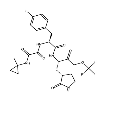 CC1(NC(=O)C(=O)N[C@@H](Cc2ccc(F)cc2)C(=O)N[C@@H](C[C@@H]2CCNC2=O)C(=O)COC(F)(F)F)CC1